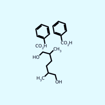 CC(CO)CCC(C)CO.O=C(O)c1ccccc1.O=C(O)c1ccccc1